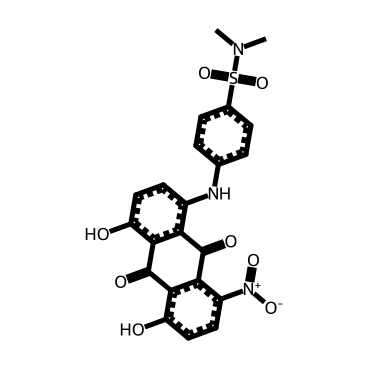 CN(C)S(=O)(=O)c1ccc(Nc2ccc(O)c3c2C(=O)c2c([N+](=O)[O-])ccc(O)c2C3=O)cc1